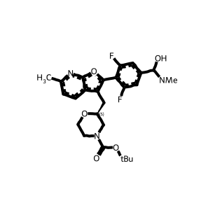 CNC(O)c1cc(F)c(-c2oc3nc(C)ccc3c2C[C@H]2CN(C(=O)OC(C)(C)C)CCO2)c(F)c1